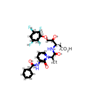 CCC(C(=O)N[C@@H](CC(=O)O)C(=O)COc1c(F)c(F)cc(F)c1F)n1cccc(NC(=O)c2ccccc2)c1=O